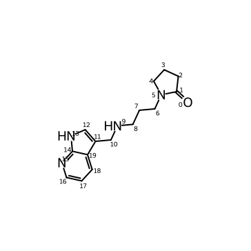 O=C1CCCN1CCCNCc1c[nH]c2ncccc12